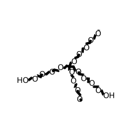 COCCOCCOCCOCCOCC(CCOCCOCCOCCOCCO)(CCOCCOCCOCCOCCO)COCCOCCOCCOC